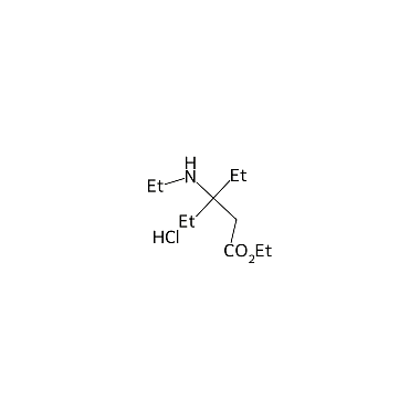 CCNC(CC)(CC)CC(=O)OCC.Cl